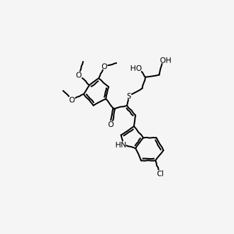 COc1cc(C(=O)/C(=C\c2c[nH]c3cc(Cl)ccc23)SCC(O)CO)cc(OC)c1OC